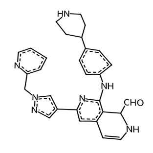 O=CC1NC=Cc2cc(-c3cnn(Cc4ccccn4)c3)nc(Nc3ccc(C4CCNCC4)cc3)c21